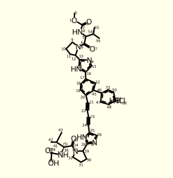 COC(=O)NC(C(=O)N1CCCC1c1ncc(-c2ccc(C#CC#Cc3cnc(C4CCCN4C(=O)[C@@H](NC(=O)O)C(C)C)[nH]3)c(-c3ccccc3)c2)[nH]1)C(C)C.Cl.Cl